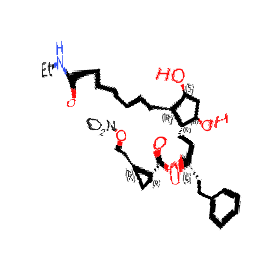 CCNC(=O)CCCC=CC[C@@H]1[C@@H](C=C[C@H](CCc2ccccc2)OC(=O)[C@@H]2C[C@H]2CO[N+](=O)[O-])[C@H](O)C[C@@H]1O